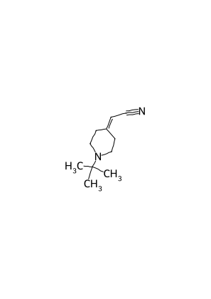 CC(C)(C)N1CCC(=CC#N)CC1